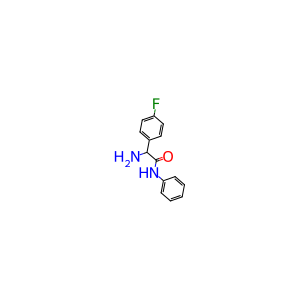 NC(C(=O)Nc1ccccc1)c1ccc(F)cc1